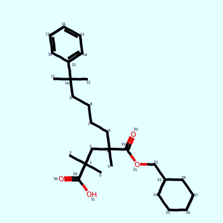 CC(C)(CC(C)(CCCCC(C)(C)c1ccccc1)C(=O)OCC1CCCCC1)C(=O)O